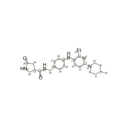 CCc1nc(N2CCC(C)CC2)ccc1Nc1ccc(CNC(=O)C2CNC(=O)C2)cc1